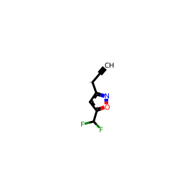 C#C[CH]c1cc(C(F)F)on1